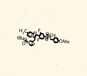 COc1ccc(CN(C)S(=O)(=O)c2cc(F)c(-c3nc4cc(C)ccn4c3CC3CN(C(=O)OC(C)(C)C)CCO3)c(F)c2)cc1